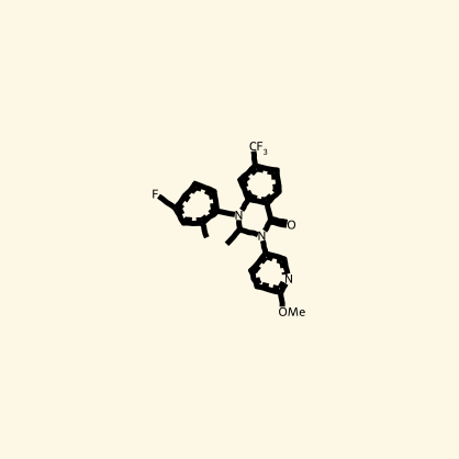 COc1ccc(N2C(=O)c3ccc(C(F)(F)F)cc3N(c3ccc(F)cc3C)C2C)cn1